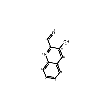 O=[C]c1nc2ccccc2cc1O